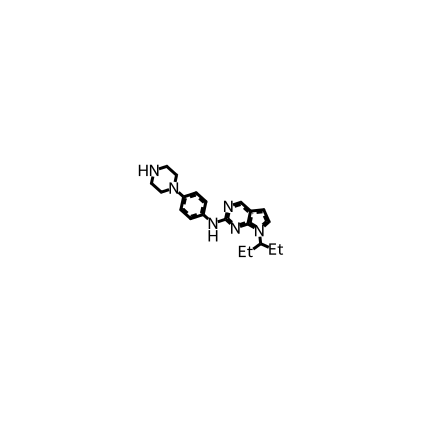 CCC(CC)n1ccc2cnc(Nc3ccc(N4CCNCC4)cc3)nc21